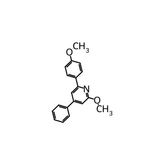 COc1ccc(-c2cc(-c3ccccc3)cc(OC)n2)cc1